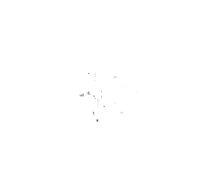 NC(N)=O.O=P(O)(O)O.[MgH2]